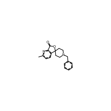 Cc1ccc2c(n1)C(=O)OC21CCN(Cc2ccccc2)CC1